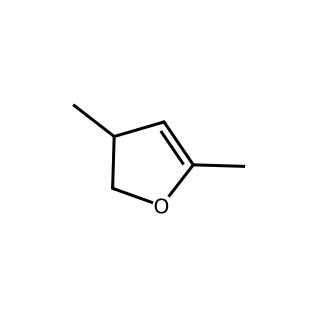 CC1=CC(C)CO1